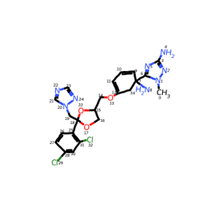 Cn1nc(N)nc1C1(N)C=CC=C(OCC2COC(Cn3cncn3)(c3ccc(Cl)cc3Cl)O2)C1